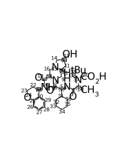 C[C@@H](C(=O)N[C@H](C(=O)N1C[C@H]2C[C@@H](O)CN2C[C@H]1C(=O)N[C@@H]1CCOc2ccccc21)C1CCCCC1)N(CC(C)(C)C)C(=O)O